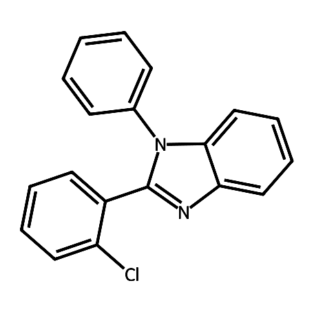 Clc1ccccc1-c1nc2ccccc2n1-c1ccccc1